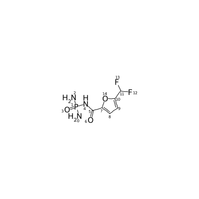 NP(N)(=O)NC(=O)c1ccc(C(F)F)o1